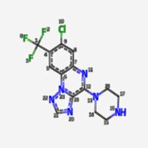 FC(F)(F)c1cc2c(cc1Cl)nc(N1CCNCC1)c1ncnn12